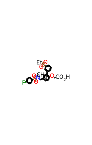 CCS(=O)(=O)c1cccc(-c2cc(CN(C)S(=O)(=O)c3ccc(F)cc3)ccc2OCC(=O)O)c1